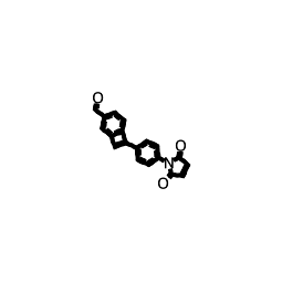 O=Cc1ccc2c(c1)C=C2c1ccc(N2C(=O)C=CC2=O)cc1